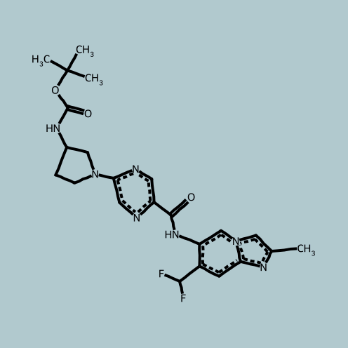 Cc1cn2cc(NC(=O)c3cnc(N4CCC(NC(=O)OC(C)(C)C)C4)cn3)c(C(F)F)cc2n1